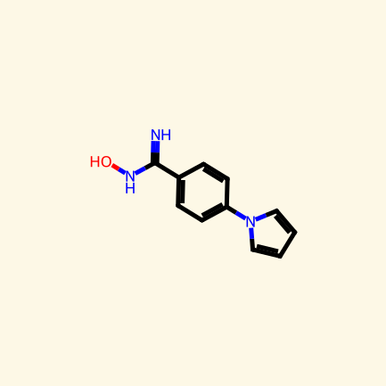 N=C(NO)c1ccc(-n2cccc2)cc1